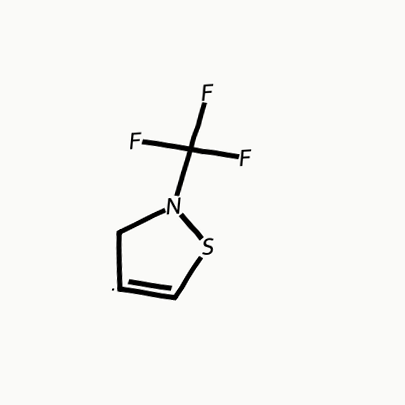 FC(F)(F)N1C[C]=CS1